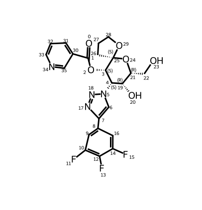 O=C(O[C@H]1[C@@H](n2cc(-c3cc(F)c(F)c(F)c3)nn2)[C@@H](O)[C@@H](CO)O[C@@]12CCCO2)c1cccnc1